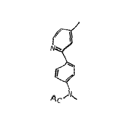 CC(=O)N(C)c1ccc(-c2cc(C)ccn2)cc1